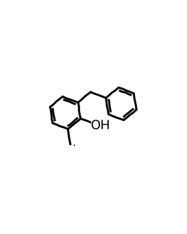 [CH2]c1cccc(Cc2ccccc2)c1O